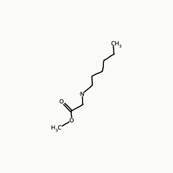 CCCCCC[N]CC(=O)OC